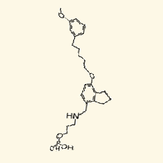 COc1cccc(CCCCCOc2ccc(CNCCCO[PH](=O)O)c3c2CCC3)c1